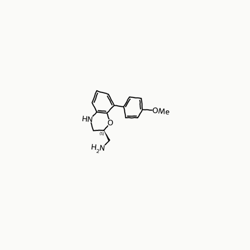 COc1ccc(-c2cccc3c2O[C@@H](CN)CN3)cc1